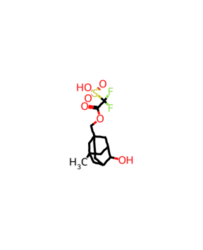 CC12CC3CC(COC(=O)C(F)(F)S(=O)(=O)O)(CC(C1)C3O)C2